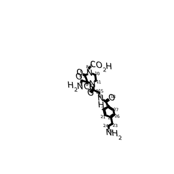 C[C@]1(C(N)=O)C(=O)N(CC(=O)O)CCN1C(=O)CNC(=O)c1ccc(CCN)cc1